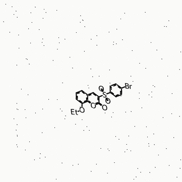 CCOc1cccc2cc(S(=O)(=O)c3ccc(Br)cc3)c(=O)oc12